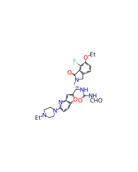 CCOc1ccc2c(c1F)C(=O)N(C[C@H](NC(=O)NC=O)c1cc3nc(N4CCN(CC)CC4)ccc3o1)C2